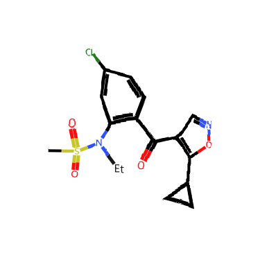 CCN(c1cc(Cl)ccc1C(=O)c1cnoc1C1CC1)S(C)(=O)=O